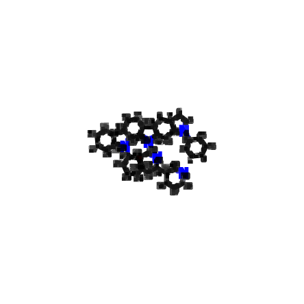 c1ccc(-n2ccc3cc4c5ccc6c7ccccc7n(-c7ccccc7)c6c5n(-c5cccc(-c6cccnc6)n5)c4cc32)cc1